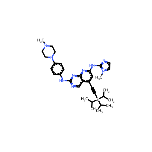 CC(C)[Si](C#Cc1cc(Nc2nccn2C)nc2nc(Nc3ccc(N4CCN(C)CC4)cc3)ncc12)(C(C)C)C(C)C